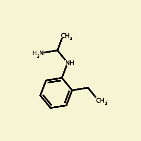 [CH2]Cc1ccccc1NC(C)N